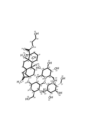 C=C1C[C@@]23CC[C@H]4[C@@](C)(CCC[C@@]4(C)C(=O)OCCO)[C@@H]2CC[C@]1(O[C@@H]1O[C@H](CO)[C@@H](O)[C@H](O[C@@H]2O[C@H](CO)[C@@H](O)[C@H](O)[C@H]2O)[C@H]1O[C@@H]1O[C@H](CO)[C@@H](O)[C@H](O)[C@H]1O)C3